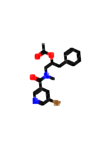 CC(=O)OC(Cc1ccccc1)CN(C)C(=O)c1cncc(Br)c1